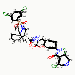 O=C(Nc1ccc(C[C@H](NC(=O)[C@H]2CN(S(=O)(=O)c3cc(Cl)cc(Cl)c3)[C@H]3CCCC[C@@H]23)C(=O)O)cc1)c1c(Cl)cncc1Cl